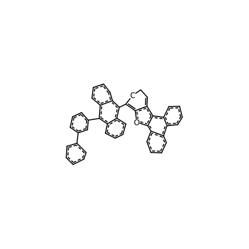 C1=c2c(oc3c4ccccc4c4ccccc4c23)=C(c2c3ccccc3c(-c3cccc(-c4ccccc4)c3)c3ccccc23)CC1